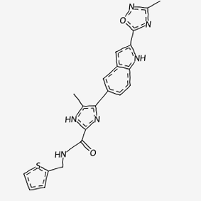 Cc1noc(-c2cc3cc(-c4nc(C(=O)NCc5cccs5)[nH]c4C)ccc3[nH]2)n1